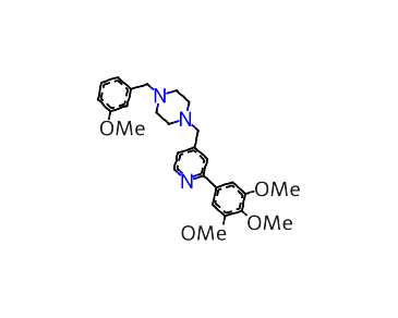 COc1cccc(CN2CCN(Cc3ccnc(-c4cc(OC)c(OC)c(OC)c4)c3)CC2)c1